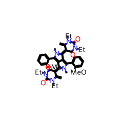 C=c1/c(=c2/c3c(-c4ccccc4OC)n(C)/c(=c4\c(=C)n(CC)c(=O)n(CC)c4=O)c3c(-c3ccccc3OC)n2C)c(=O)n(CC)c(=O)n1CC